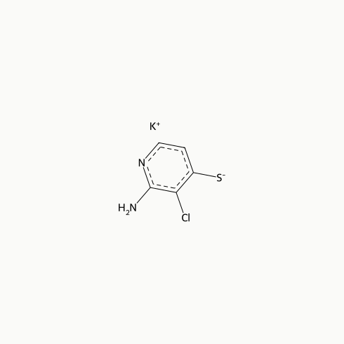 Nc1nccc([S-])c1Cl.[K+]